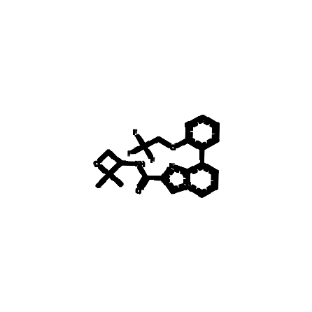 CC1(C)OCC1NC(=O)c1cn2cccc(-c3ccccc3OCC(F)(F)F)c2n1